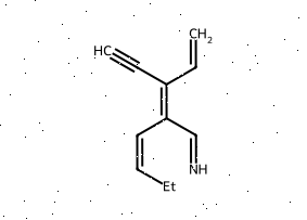 C#C/C(C=C)=C(C=N)\C=C/CC